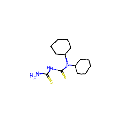 NC(=S)NC(=S)N(C1CCCCC1)C1CCCCC1